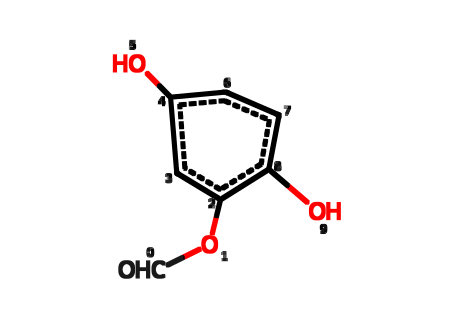 O=COc1cc(O)ccc1O